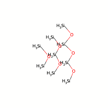 [SiH3]O[SiH2]O[SiH2]O[SiH3].[SiH3]O[SiH2]O[SiH3].[SiH3]O[SiH3]